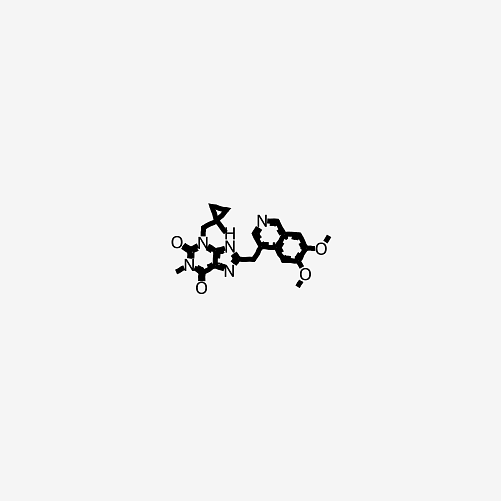 COc1cc2cncc(Cc3nc4c(=O)n(C)c(=O)n(CC5(C)CC5)c4[nH]3)c2cc1OC